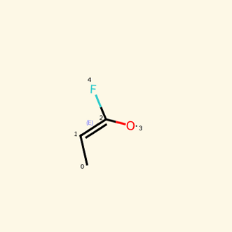 C/C=C(\[O])F